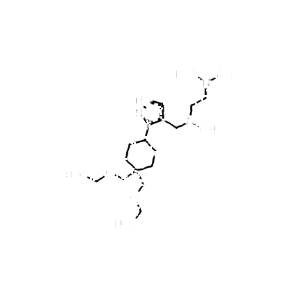 CCOCC1(COCC)CCC(c2n[nH]cc2CN(C)CCN(C)C)CC1